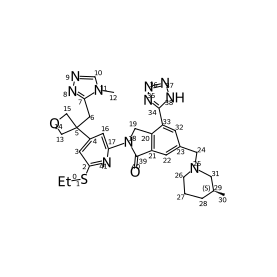 CCSc1cc(C2(Cc3nncn3C)COC2)cc(N2Cc3c(cc(CN4CCC[C@H](C)C4)cc3-c3nnn[nH]3)C2=O)n1